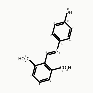 O=C(O)c1cccc(C(=O)O)c1C=Nc1ccc(O)cc1